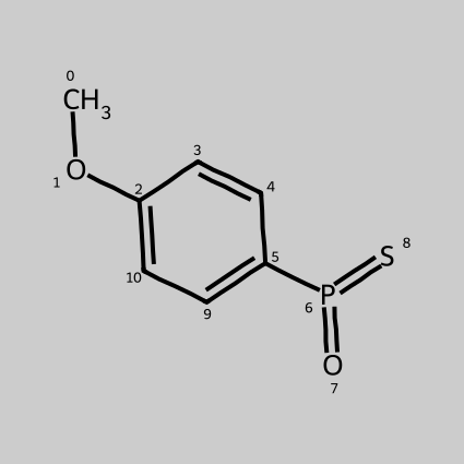 COc1ccc(P(=O)=S)cc1